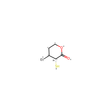 CCC1CCOC(=O)[C@@H]1S